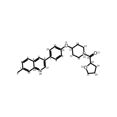 Cc1ccc2cc(-c3ccc(OC4CCN(C(=O)C5CCCO5)CC4)cc3)cnc2c1